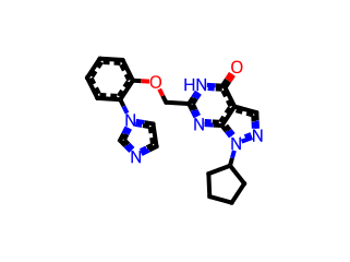 O=c1[nH]c(COc2ccccc2-n2ccnc2)nc2c1cnn2C1CCCC1